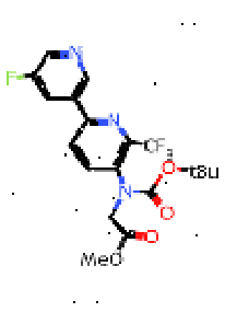 COC(=O)CN(C(=O)OC(C)(C)C)c1ccc(-c2cncc(F)c2)nc1C(F)(F)F